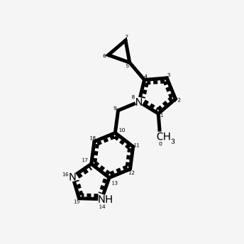 Cc1[c]cc(C2CC2)n1Cc1ccc2[nH]cnc2c1